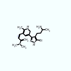 C=C(/C=C\C1=C(C)NCC(c2n[nH]c(CC)c2CCC(C)N)=C1)N(C)C